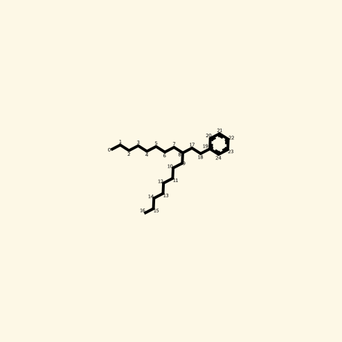 CCCCCCCCC(CCCCCCCC)CCc1ccccc1